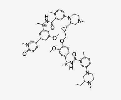 CCC1CN(c2ccc(C)c(C(=O)N[C@H](C)c3ccc(OCC4CC4C4CN(C)CCN4c4ccc(C)c(C(=O)N[C@H](C)c5cc(OC)cc(-c6ccc(=O)n(C)c6)c5)c4)c(OC)c3)c2)CCN1C